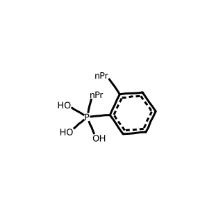 CCCc1ccccc1P(O)(O)(O)CCC